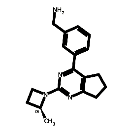 C[C@H]1CCN1c1nc2c(c(-c3cccc(CN)c3)n1)CCC2